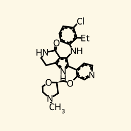 CCc1c(Cl)cccc1Nc1c(-c2ccncc2OC[C@H]2CN(C)CCO2)[nH]c2c1C(=O)NCC2